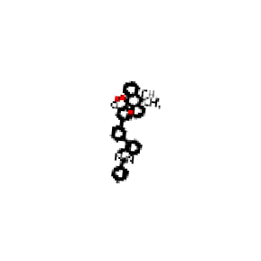 CC1(C)c2ccccc2C2(c3ccccc3Oc3cc(-c4cccc(-c5cccc6nc(-c7ccccc7)ncc56)c4)ccc32)c2ccccc21